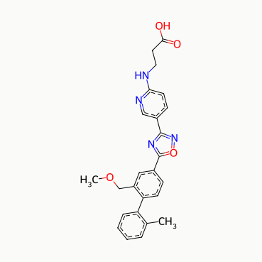 COCc1cc(-c2nc(-c3ccc(NCCC(=O)O)nc3)no2)ccc1-c1ccccc1C